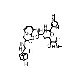 CNC(=O)C(=O)CC[C@H](NC(=O)c1c[nH]cn1)C(=O)Nc1cccn(CC(=O)NC[C@@H]2CC[C@@H]3C[C@H]2C3(C)C)c1=O